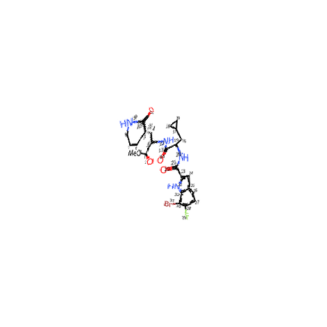 COC(=O)C(C[C@@H]1CCCNC1=O)NC(=O)C(CC1CC1)NC(=O)c1cc2ccc(F)c(Br)c2[nH]1